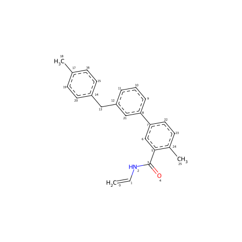 C=CNC(=O)c1cc(-c2cccc(Cc3ccc(C)cc3)c2)ccc1C